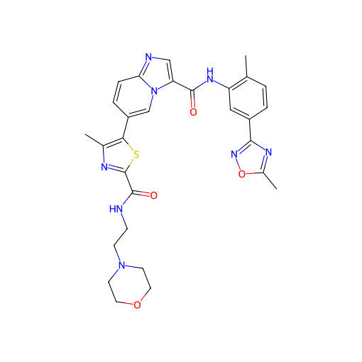 Cc1nc(-c2ccc(C)c(NC(=O)c3cnc4ccc(-c5sc(C(=O)NCCN6CCOCC6)nc5C)cn34)c2)no1